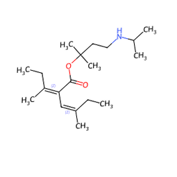 CC/C(C)=C\C(C(=O)OC(C)(C)CCNC(C)C)=C(/C)CC